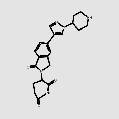 O=C1CCC(N2Cc3cc(-c4cnn(C5CCNCC5)c4)ccc3C2=O)C(=O)N1